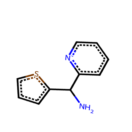 NC(c1ccccn1)c1cccs1